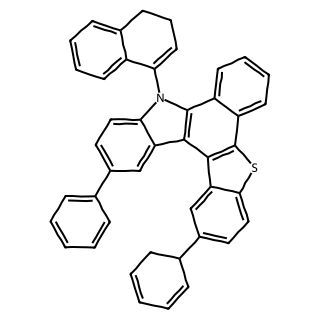 C1=CCC(c2ccc3sc4c5ccccc5c5c(c6cc(-c7ccccc7)ccc6n5C5=CCCc6ccccc65)c4c3c2)C=C1